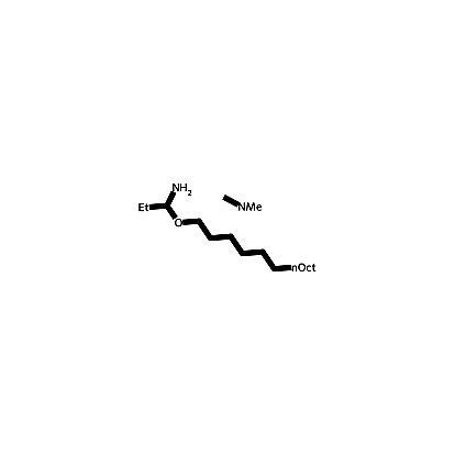 CCCCCCCCCCCCCCOC(N)CC.CNC